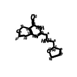 O=c1[nH]c(CNC[C@H]2CCCO2)nc2c1COCC2